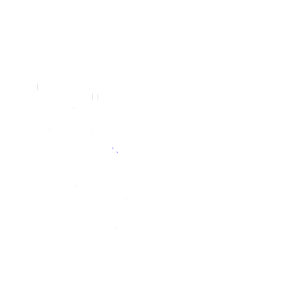 COP(=O)(NC(C)C(=O)OCc1ccccc1)C(C)(C)C